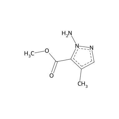 COC(=O)c1c(C)cnn1N